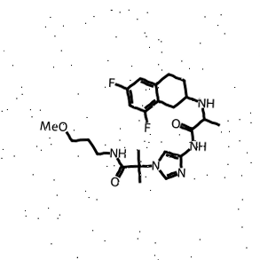 COCCCNC(=O)C(C)(C)n1cnc(NC(=O)C(C)NC2CCc3cc(F)cc(F)c3C2)c1